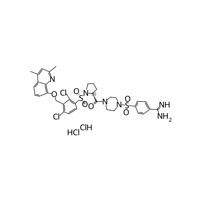 Cc1cc(C)c2cccc(OCc3c(Cl)ccc(S(=O)(=O)N4CCC[C@H]4C(=O)N4CCN(S(=O)(=O)c5ccc(C(=N)N)cc5)CC4)c3Cl)c2n1.Cl.Cl